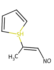 CC(=CN=O)[SH]1C=CC=C1